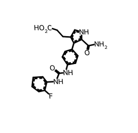 NC(=O)c1[nH]cc(CCC(=O)O)c1-c1ccc(NC(=O)Nc2ccccc2F)cc1